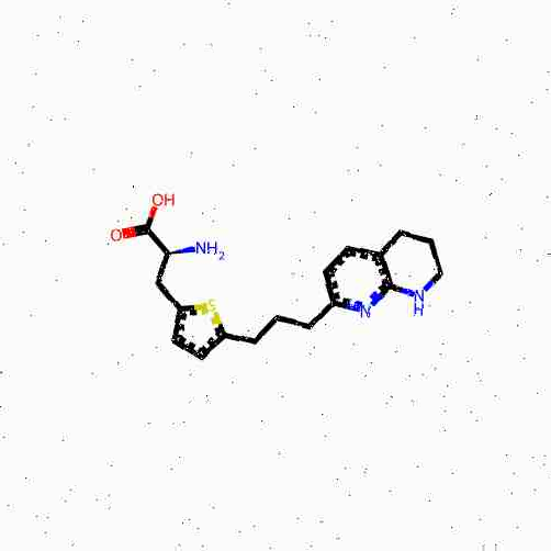 N[C@@H](Cc1ccc(CCCc2ccc3c(n2)NCCC3)s1)C(=O)O